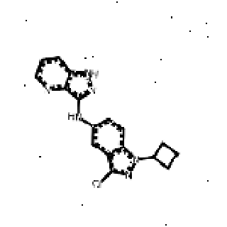 Clc1nn(C2CCC2)c2ccc(Nc3n[nH]c4cccnc34)cc12